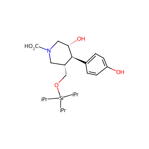 CC(C)[Si](OC[C@@H]1CN(C(=O)O)C[C@H](O)[C@H]1c1ccc(O)cc1)(C(C)C)C(C)C